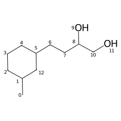 CC1CCCC(CCC(O)CO)C1